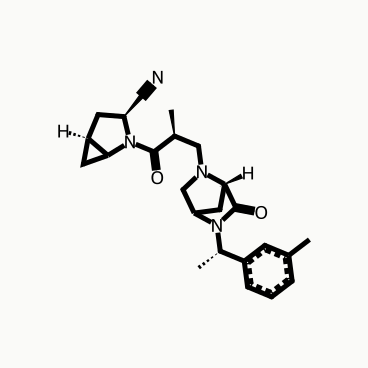 Cc1cccc([C@H](C)N2C(=O)[C@@H]3CC2CN3C[C@H](C)C(=O)N2C3C[C@H]3C[C@H]2C#N)c1